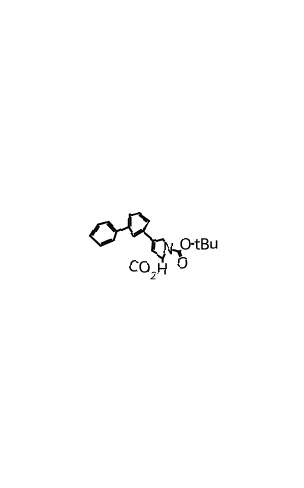 CC(C)(C)OC(=O)N1CC(c2cccc(-c3ccccc3)c2)=CC1C(=O)O